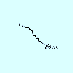 CCCCCCCCCCCCCCCCCCCS(=O)(=O)OC